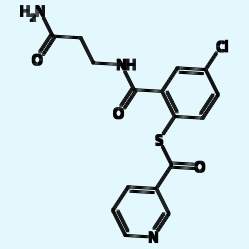 NC(=O)CCNC(=O)c1cc(Cl)ccc1SC(=O)c1cccnc1